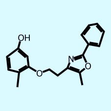 Cc1ccc(O)cc1OCCc1nc(-c2ccccc2)oc1C